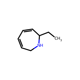 CCC1C=CC=CCN1